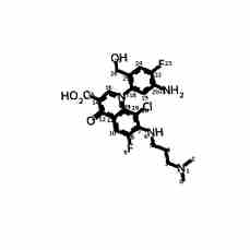 CN(C)CCCNc1c(F)cc2c(=O)c(C(=O)O)cn(-c3cc(N)c(F)cc3CO)c2c1Cl